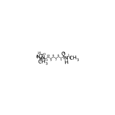 CCNC(=O)CCCCCCCn1c[c]nc1C